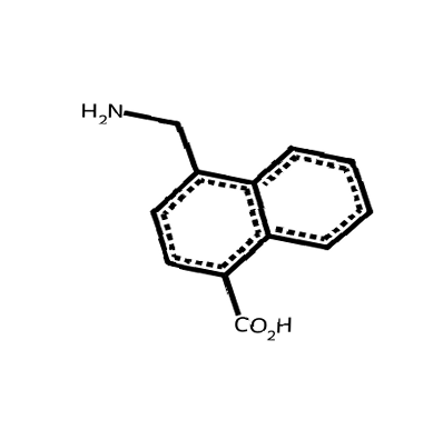 NCc1ccc(C(=O)O)c2ccccc12